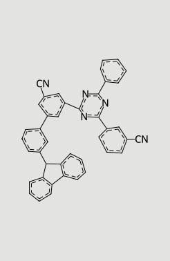 N#Cc1cccc(-c2nc(-c3ccccc3)nc(-c3cc(C#N)cc(-c4cccc(C5c6ccccc6-c6ccccc65)c4)c3)n2)c1